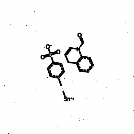 Cc1ccc(S(=O)(=O)[O-])cc1.O=CN1C=CCc2ccccc21.[CH3][Sn+]